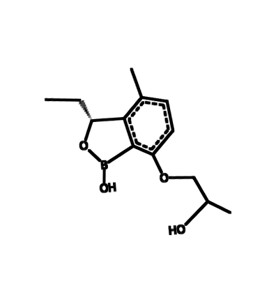 CC[C@H]1OB(O)c2c(OCC(C)O)ccc(C)c21